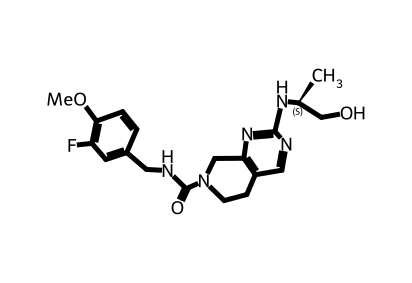 COc1ccc(CNC(=O)N2CCc3cnc(N[C@@H](C)CO)nc3C2)cc1F